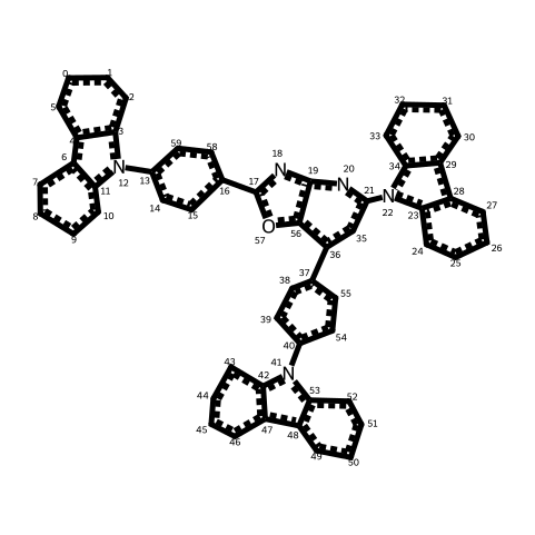 c1ccc2c(c1)c1ccccc1n2-c1ccc(-c2nc3nc(-n4c5ccccc5c5ccccc54)cc(-c4ccc(-n5c6ccccc6c6ccccc65)cc4)c3o2)cc1